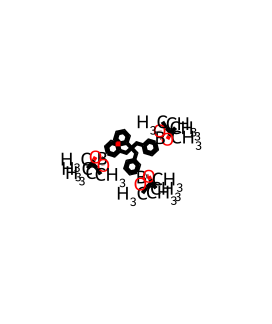 CC1(C)OB(c2cccc(CC(Cc3cccc(B4OC(C)(C)C(C)(C)O4)c3)(Cc3cccc(B4OC(C)(C)C(C)(C)O4)c3)c3ccccc3)c2)OC1(C)C